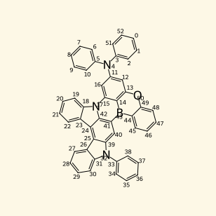 c1ccc(N(c2ccccc2)c2cc3c4c(c2)-n2c5ccccc5c5c6c7ccccc7n(-c7ccccc7)c6cc(c52)B4c2ccccc2O3)cc1